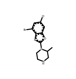 CC1CNCCN1c1nc2c(Br)cc(Cl)cc2o1